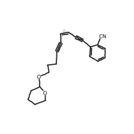 N#Cc1ccccc1C#C/C=C\C#CCCCOC1CCCCO1